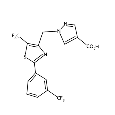 O=C(O)c1cnn(Cc2nc(-c3cccc(C(F)(F)F)c3)sc2C(F)(F)F)c1